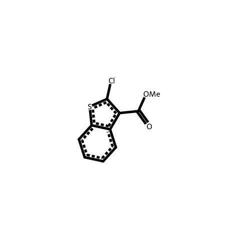 COC(=O)c1c(Cl)sc2ccccc12